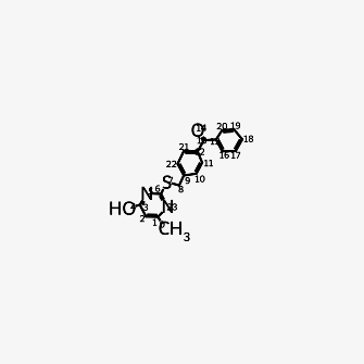 Cc1cc(O)nc(SCc2ccc(C(=O)c3ccccc3)cc2)n1